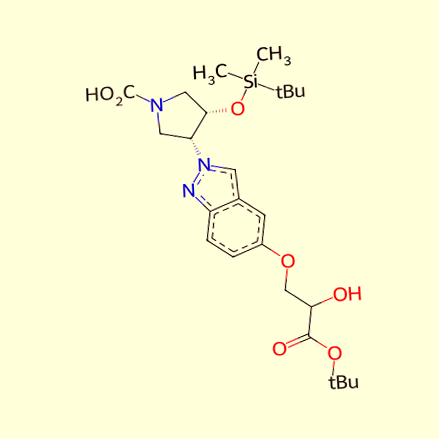 CC(C)(C)OC(=O)C(O)COc1ccc2nn([C@@H]3CN(C(=O)O)C[C@@H]3O[Si](C)(C)C(C)(C)C)cc2c1